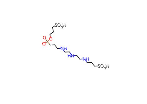 O=S(=O)(O)CCCNCCNCCNCCCS(=O)(=O)OCCCS(=O)(=O)O